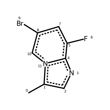 Cc1cnc2c(F)cc(Br)cn12